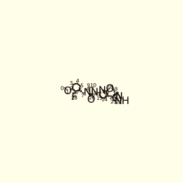 COc1cccc(CN2CCN(c3ccc4c(n3)OCc3n[nH]cc3-4)C2=O)c1F